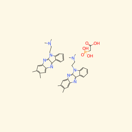 Cc1cc2nc3c4ccccc4n(CCN(C)C)c3nc2cc1C.Cc1cc2nc3c4ccccc4n(CCN(C)C)c3nc2cc1C.O=C(O)CP(=O)(O)O